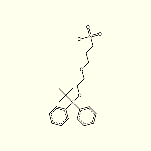 CC(C)(C)[Si](OCCOCCCS(=O)(=O)Cl)(c1ccccc1)c1ccccc1